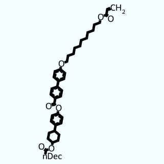 C=CC(=O)OCCCCCCCCCCCOc1ccc(-c2ccc(C(=O)Oc3ccc(C4CCC(OC(=O)CCCCCCCCCC)CC4)cc3)cc2)cc1